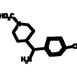 NC(c1ccc(Cl)cc1)C1CCN(C(=O)O)CC1